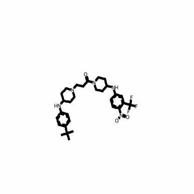 CC(C)(C)c1ccc(NC2CCN(CCC(=O)N3CCC(Nc4ccc([N+](=O)[O-])c(C(F)(F)F)c4)CC3)CC2)cc1